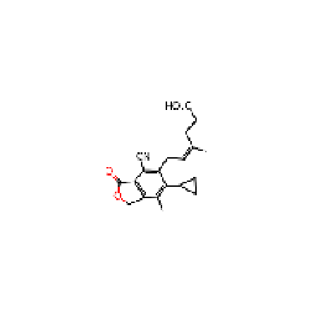 CC(=CCc1c(C#N)c2c(c(C)c1C1CC1)COC2=O)CCC(=O)O